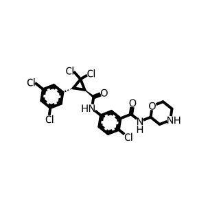 O=C(NC1CNCCO1)c1cc(NC(=O)[C@H]2[C@H](c3cc(Cl)cc(Cl)c3)C2(Cl)Cl)ccc1Cl